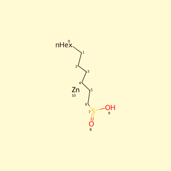 CCCCCCCCCCCCS(=O)O.[Zn]